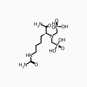 NC(=O)NCCCC[C@@H](C(N)=O)N(CP(=O)(O)O)CP(=O)(O)O